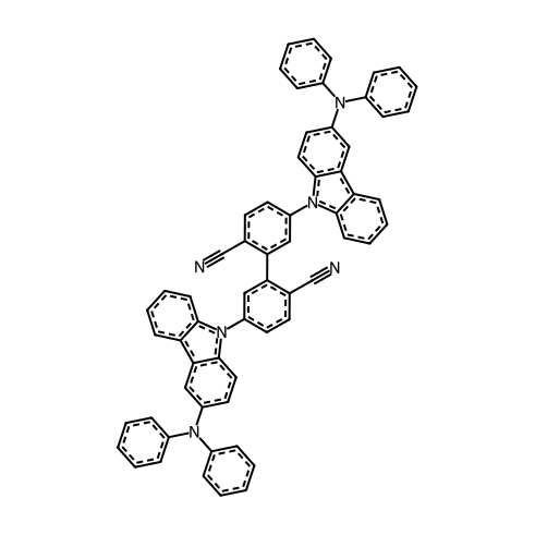 N#Cc1ccc(-n2c3ccccc3c3cc(N(c4ccccc4)c4ccccc4)ccc32)cc1-c1cc(-n2c3ccccc3c3cc(N(c4ccccc4)c4ccccc4)ccc32)ccc1C#N